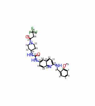 COc1ccccc1CNc1ccc2cc(NC(=O)NC3CCN(C(=O)CC(F)(F)F)CC3)ccc2n1